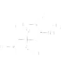 CNC(CC(CC(=O)O)(NC)NC)C(=O)O